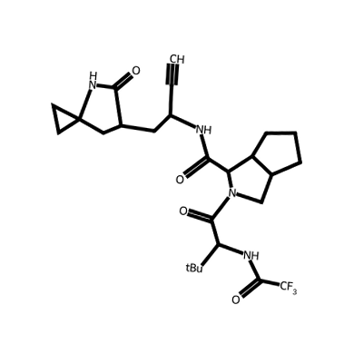 C#CC(CC1CC2(CC2)NC1=O)NC(=O)C1C2CCCC2CN1C(=O)C(NC(=O)C(F)(F)F)C(C)(C)C